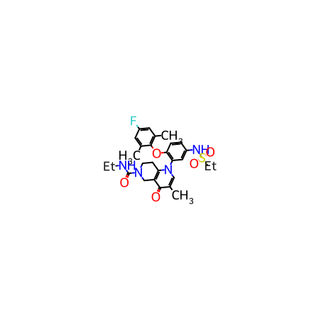 CCNC(=O)N1CCc2c(c(=O)c(C)cn2-c2cc(NS(=O)(=O)CC)ccc2Oc2c(C)cc(F)cc2C)C1